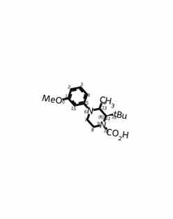 COc1cccc(N2CCN(C(=O)O)[C@H](C(C)(C)C)C2C)c1